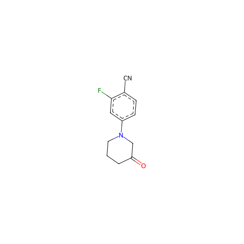 N#Cc1ccc(N2CCCC(=O)C2)cc1F